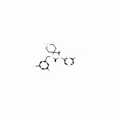 Cl.O=C1N(c2cncc(C(F)(F)F)n2)C(=O)C2(CCNCC2)N1Cc1cc(F)cc(F)c1